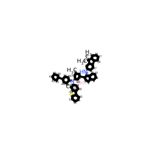 Cc1cc(-c2ccc3ccccc3c2Nc2ccc3c(c2)C(C)(C)c2ccccc2-3)c2c(c1)N(c1ccc(-c3ccccc3)cc1C)c1cc3sc4ccccc4c3cc1B2